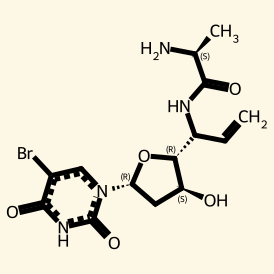 C=CC(NC(=O)[C@H](C)N)[C@H]1O[C@@H](n2cc(Br)c(=O)[nH]c2=O)C[C@@H]1O